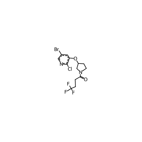 O=C(CCC(F)(F)F)N1CCC(Oc2cc(Br)cnc2Cl)C1